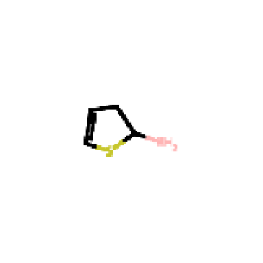 BC1CC=CS1